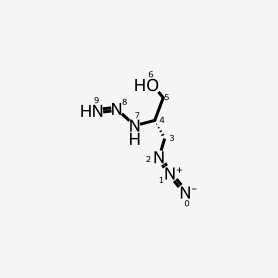 [N-]=[N+]=NC[C@@H](CO)NN=N